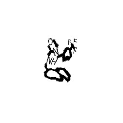 FC(F)(F)c1cccc(CN2CCOCC2CNC/C2=C/CC#CCc3ccccc3C2)c1